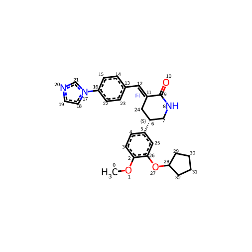 COc1ccc([C@H]2CNC(=O)/C(=C/c3ccc(-n4ccnc4)cc3)C2)cc1OC1CCCC1